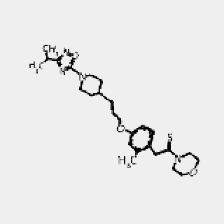 Cc1cc(OCCCC2CCN(c3nc(C(C)C)no3)CC2)ccc1CC(=S)N1CCOCC1